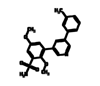 COc1cc(-c2cncc(-c3cccc(C)c3)c2)c(OC)c(S(N)(=O)=O)c1